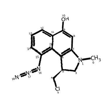 CN1C[C@@H](CCl)c2c1cc(O)c1cccc(N=[N+]=[N-])c21